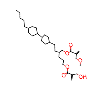 C=C(CO)C(=O)OCCCC(CCC1CCC(C2CCC(CCCCC)CC2)CC1)COC(=O)C(=C)COC